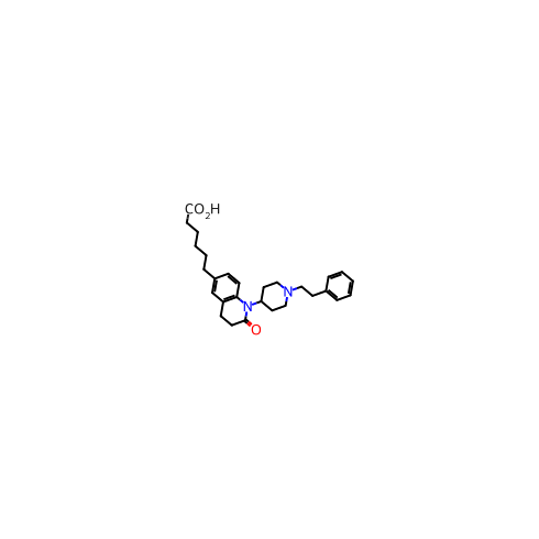 O=C(O)CCCCCc1ccc2c(c1)CCC(=O)N2C1CCN(CCc2ccccc2)CC1